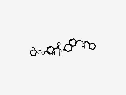 O=C(N[C@H]1CCc2cc(CNCC3CCCC3)ccc2C1)c1ccc(OC[C@@H]2CCCO2)cn1